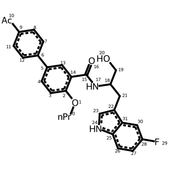 CCCOc1ccc(-c2ccc(C(C)=O)cc2)cc1C(=O)NC(CO)Cc1c[nH]c2ccc(F)cc12